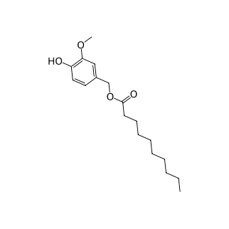 CCCCCCCCCC(=O)OCc1ccc(O)c(OC)c1